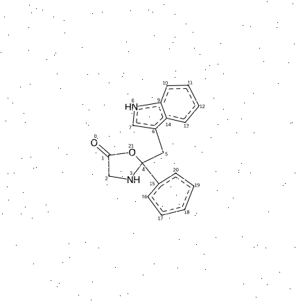 O=C1CNC(Cc2c[nH]c3ccccc23)(c2ccccc2)O1